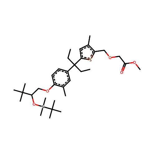 CCC(CC)(c1ccc(OCC(O[Si](C)(C)C(C)(C)C)C(C)(C)C)c(C)c1)c1cc(C)c(COCC(=O)OC)s1